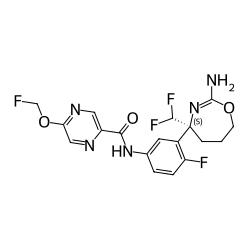 NC1=N[C@@](c2cc(NC(=O)c3cnc(OCF)cn3)ccc2F)(C(F)F)CCCO1